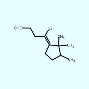 CCC(CCC=O)=C1CCC(C)C1(C)C